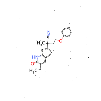 CCc1cc2ccc(C(C)(C#N)CCOc3ccccc3)cc2[nH]c1=O